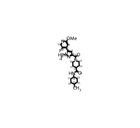 COc1cc(-c2cc(C(=O)N3CCC(C(=O)NC4CCC(C)CC4)CC3)nn2PI)c(F)cn1